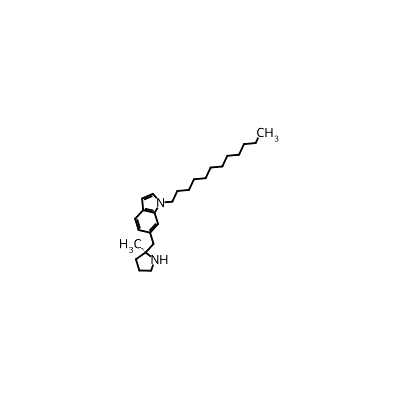 CCCCCCCCCCCCn1ccc2ccc(C[C@]3(C)CCCN3)cc21